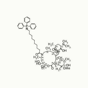 CC[C@H]1OC(=O)[C@H](C)C([C@H]2C[C@@](C)(OC)[C@@H](O)[C@H](C)O2)[C@H](C)[C@@H](O[C@@H]2O[C@H](C)C[C@H](N(C)C)[C@H]2O)[C@](C)(O)C[C@@H](C)CN(C(=O)CCCCCCCCCC[PH](c2ccccc2)(c2ccccc2)c2ccccc2)[C@H](C)[C@@H](O)[C@]1(C)O